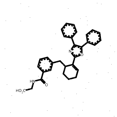 O=C(O)CNC(=O)c1cccc(CC2CCCC=C2c2nc(-c3ccccc3)c(-c3ccccc3)o2)c1